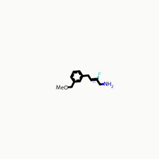 COCc1cccc(C/C=C(\F)CN)c1